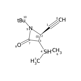 C#C[C@H]1C([SiH](C)C)C(=O)N1C(C)(C)C